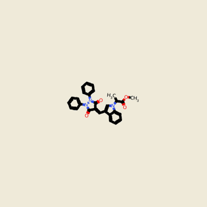 COC(=O)C(C)n1cc(C=C2C(=O)N(c3ccccc3)N(c3ccccc3)C2=O)c2ccccc21